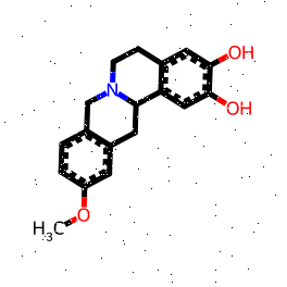 COc1ccc2c(c1)CC1c3cc(O)c(O)cc3CCN1C2